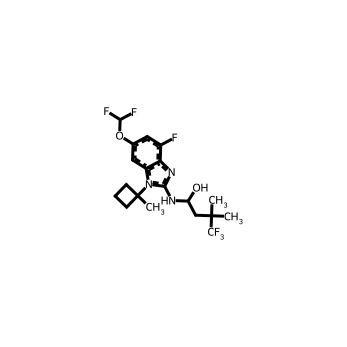 CC1(n2c(NC(O)CC(C)(C)C(F)(F)F)nc3c(F)cc(OC(F)F)cc32)CCC1